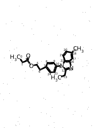 CCC(=O)OCCc1ccc(-n2c(CC)nc3cc(C)ccc32)cc1